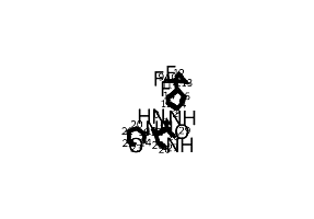 N=C(Nc1ccc(C2(C(F)(F)F)CC2)cc1)c1c(N[C@@H]2CCCOC2)cc[nH]c1=O